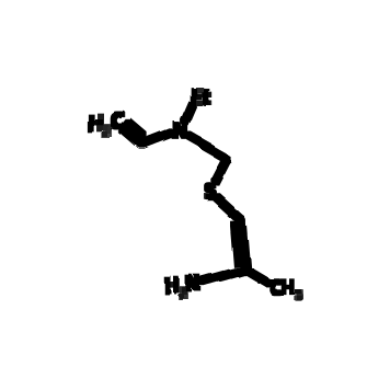 C=CN(CC)CS/C=C(/C)N